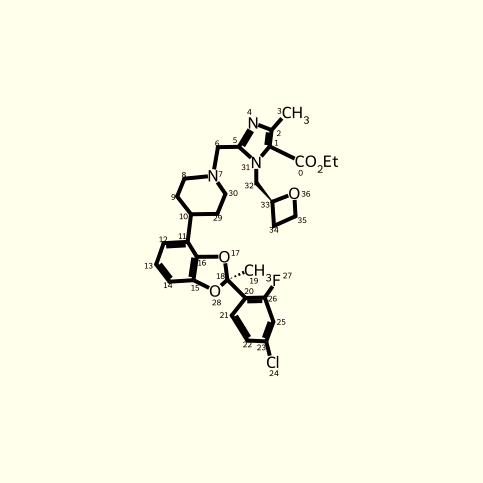 CCOC(=O)c1c(C)nc(CN2CCC(c3cccc4c3O[C@@](C)(c3ccc(Cl)cc3F)O4)CC2)n1C[C@@H]1CCO1